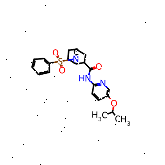 CC(C)Oc1ccc(NC(=O)C2CC3CCC2N(S(=O)(=O)c2ccccc2)C3)nc1